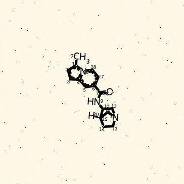 Cc1ccc2cc(C(=O)NC3CN4CC[C@H]3C4)ccn12